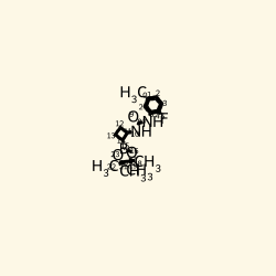 Cc1ccc(F)c(NC(=O)NC2CC[C@@H]2B2OC(C)(C)C(C)(C)O2)c1